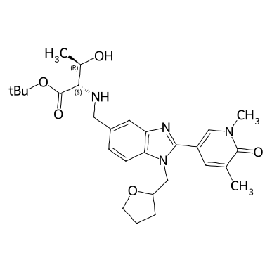 Cc1cc(-c2nc3cc(CN[C@H](C(=O)OC(C)(C)C)[C@@H](C)O)ccc3n2CC2CCCO2)cn(C)c1=O